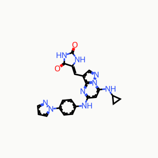 O=C1NC(=O)C(=Cc2cnn3c(NC4CC4)cc(Nc4ccc(-n5cccn5)cc4)nc23)N1